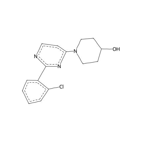 OC1CCN(c2ccnc(-c3ccccc3Cl)n2)CC1